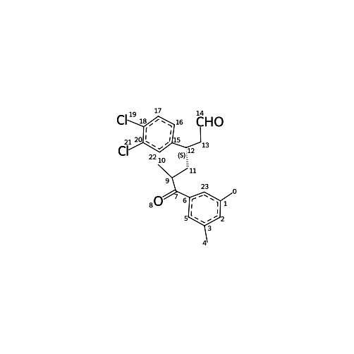 Cc1cc(C)cc(C(=O)C(C)C[C@@H](CC=O)c2ccc(Cl)c(Cl)c2)c1